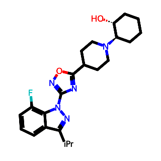 CC(C)c1nn(-c2noc(C3CCN([C@@H]4CCCC[C@H]4O)CC3)n2)c2c(F)cccc12